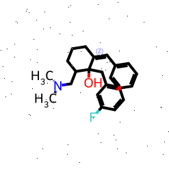 CN(C)CC1CCC/C(=C/c2ccccc2)C1(O)Cc1cccc(F)c1